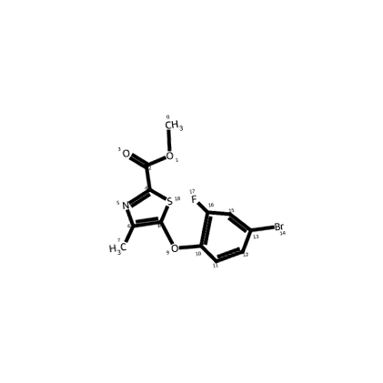 COC(=O)c1nc(C)c(Oc2ccc(Br)cc2F)s1